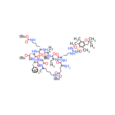 CC[C@H](C)[C@H](NC(=O)[C@H](Cc1ccccc1)NC(=O)[C@H](CC(=O)OC(C)(C)C)NC(=O)[C@H](CCCCNC(=O)OC(C)(C)C)NC(=O)[C@H](C)NC(=O)[C@H](C)NC(=O)[C@H](CCCNC(=N)NS(=O)(=O)c1c(C)c(C)c2c(c1C)CC(C)(C)O2)NC(=O)[C@@H](N)CCC(=O)OC(C)(C)C)C(=O)N[C@@H](CCCCN)C(=O)O